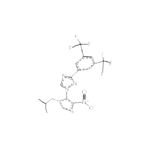 CC(C)Cn1cnc([N+](=O)[O-])c1-n1cnc(-c2cc(C(F)(F)F)cc(C(F)(F)F)c2)n1